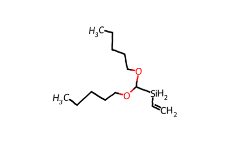 C=C[SiH2]C(OCCCCC)OCCCCC